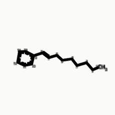 CCCCCC[CH]C=Cc1ccccc1